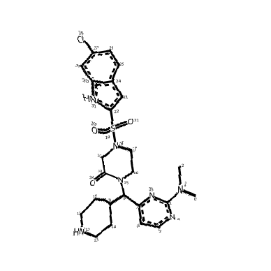 CN(C)c1nccc(C(C2CCNCC2)N2CCN(S(=O)(=O)c3cc4ccc(Cl)cc4[nH]3)CC2=O)n1